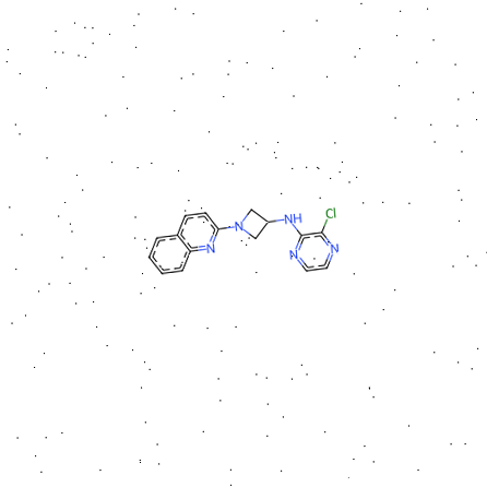 Clc1nccnc1NC1CN(c2ccc3ccccc3n2)C1